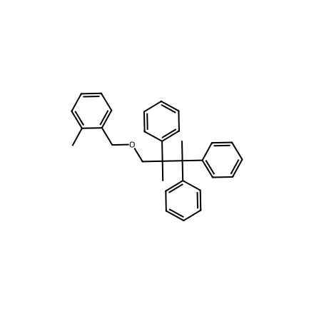 Cc1ccccc1COCC(C)(c1ccccc1)C(C)(c1ccccc1)c1ccccc1